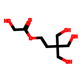 O=C(CO)OCCC(CO)(CO)CO